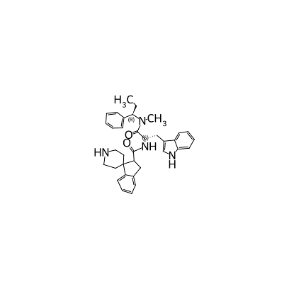 CC[C@H](c1ccccc1)N(C)C(=O)[C@H](Cc1c[nH]c2ccccc12)NC(=O)C1Cc2ccccc2C12CCNCC2